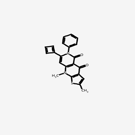 Cc1cc2c(=O)c3c(=O)n(-c4ccccc4)c(C4=CC=C4)cc3n(C)c2s1